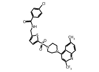 Cc1ccc2nc(C(F)(F)F)cc(N3CCN(S(=O)(=O)c4ccc(CNC(=O)c5ccc(Cl)cc5)s4)CC3)c2c1